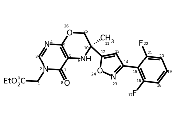 CCOC(=O)Cn1cnc2c(c1=O)N[C@](C)(c1cc(-c3c(F)cccc3F)no1)CO2